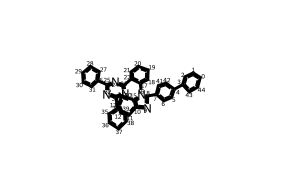 c1ccc(-c2ccc(-c3nc4ccccc4n3-c3ccccc3-c3nc(-c4ccccc4)nc(-c4ccccc4)n3)cc2)cc1